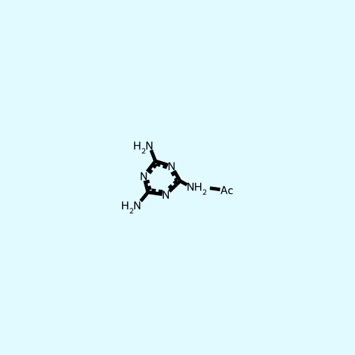 CC(C)=O.Nc1nc(N)nc(N)n1